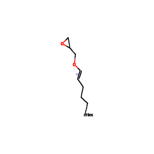 CCCCCCCCC/C=C/OCC1CO1